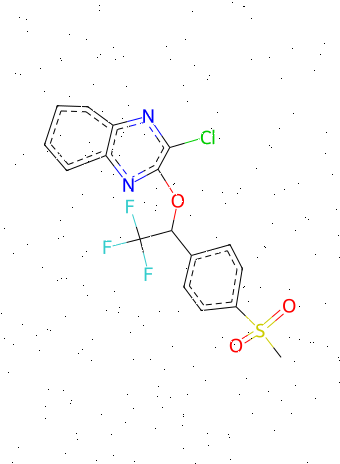 CS(=O)(=O)c1ccc(C(Oc2nc3ccccc3nc2Cl)C(F)(F)F)cc1